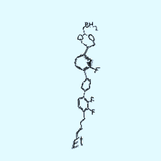 BCC1OCC(c2ccc(-c3ccc(-c4ccc(CC/C=C/CC)c(F)c4F)cc3)c(F)c2)CO1